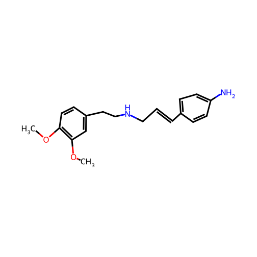 COc1ccc(CCNCC=Cc2ccc(N)cc2)cc1OC